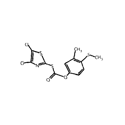 CSc1ccc(OC(=O)Sc2nc(Cl)c(Cl)s2)cc1C